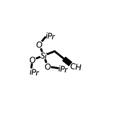 C#CC[Si](OC(C)C)(OC(C)C)OC(C)C